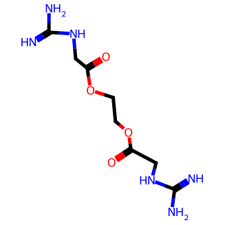 N=C(N)NCC(=O)OCCOC(=O)CNC(=N)N